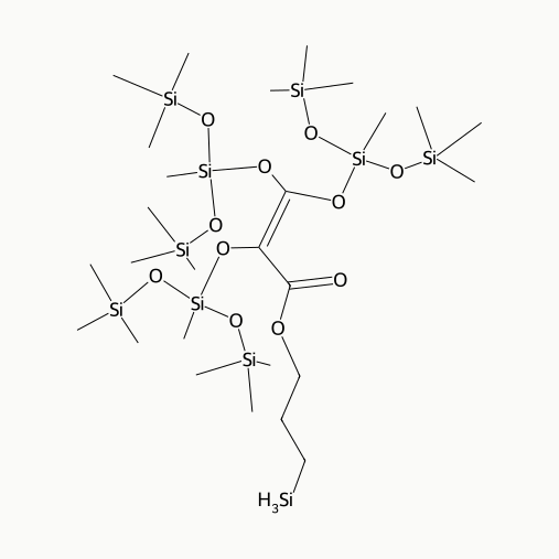 C[Si](C)(C)O[Si](C)(OC(O[Si](C)(O[Si](C)(C)C)O[Si](C)(C)C)=C(O[Si](C)(O[Si](C)(C)C)O[Si](C)(C)C)C(=O)OCCC[SiH3])O[Si](C)(C)C